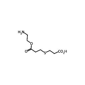 NCCOC(=O)CCSCCC(=O)O